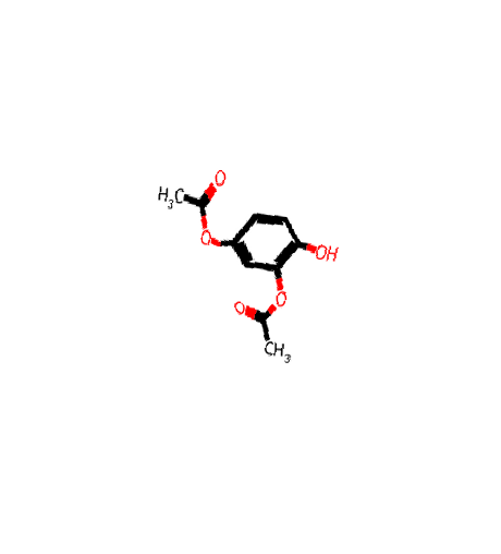 CC(=O)Oc1ccc(O)c(OC(C)=O)c1